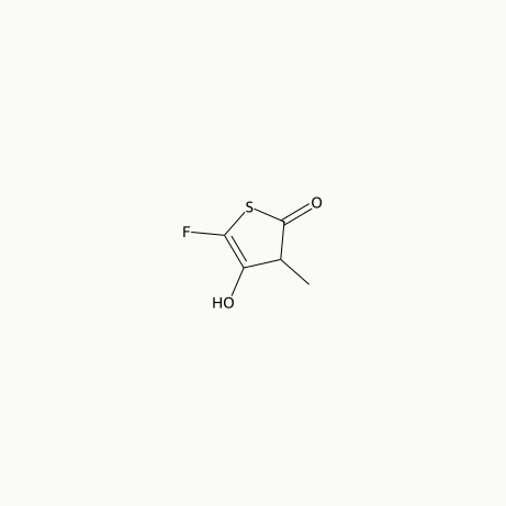 CC1C(=O)SC(F)=C1O